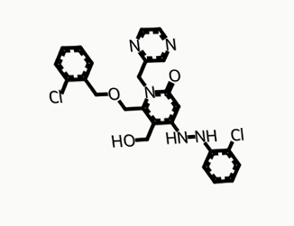 O=c1cc(NNc2ccccc2Cl)c(CO)c(COCc2ccccc2Cl)n1Cc1cnccn1